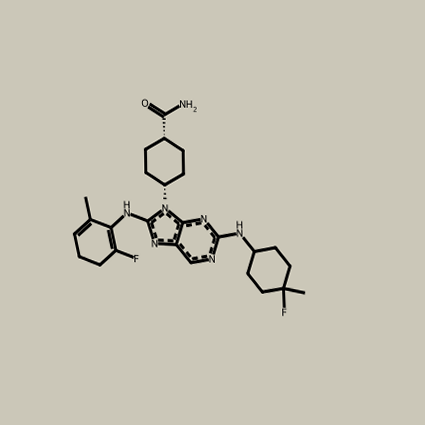 CC1=CCCC(F)=C1Nc1nc2cnc(NC3CCC(C)(F)CC3)nc2n1[C@H]1CC[C@@H](C(N)=O)CC1